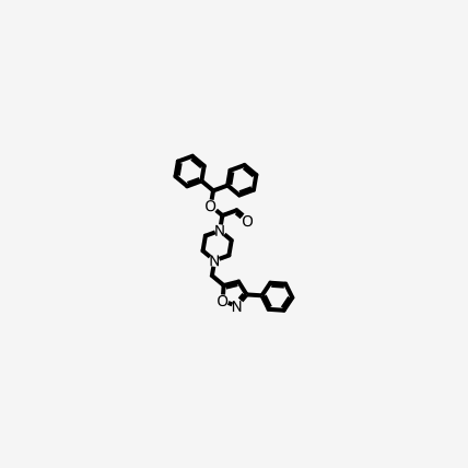 O=CC(OC(c1ccccc1)c1ccccc1)N1CCN(Cc2cc(-c3ccccc3)no2)CC1